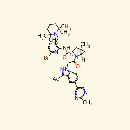 CC(=O)c1nn(CC(=O)N2[C@H](C(=O)Nc3nc(Br)ccc3CN3C(C)(C)CCCC3(C)C)C[C@@]3(C)C[C@@H]23)c2ccc(-c3cnc(C)nc3)cc12